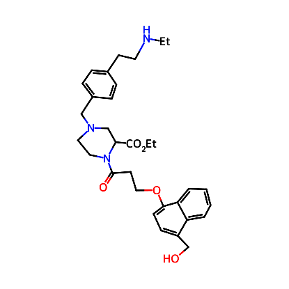 CCNCCc1ccc(CN2CCN(C(=O)CCOc3ccc(CO)c4ccccc34)C(C(=O)OCC)C2)cc1